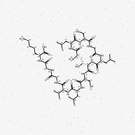 CC(C)C[C@H](NC(=O)CNC(=O)[C@H](CS)NC(=O)[C@H](CC(C)C)NC(=O)[C@H](C)N)C(=O)N[C@@H](CO)C(=O)N[C@@H](CS)C(=O)N[C@@H](CC(C)C)C(=O)N[C@H](C(=O)NCC(=O)NCC(=O)N[C@@H](CCCCN)C(=O)O)C(C)C